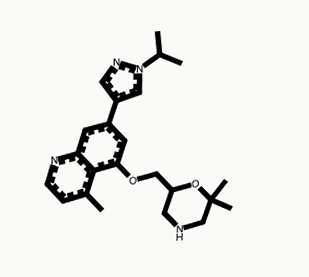 Cc1ccnc2cc(-c3cnn(C(C)C)c3)cc(OCC3CNCC(C)(C)O3)c12